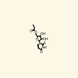 CCC(=O)OCC1OC(n2ccc(=O)[nH]c2=S)[C@H](O)[C@@H]1O